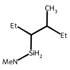 CCC(C)C(CC)[SiH2]NC